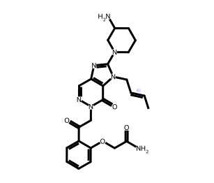 C/C=C/Cn1c(N2CCCC(N)C2)nc2cnn(CC(=O)c3ccccc3OCC(N)=O)c(=O)c21